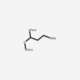 CCCCCOC(CCCCC)CCNC